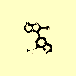 Cc1cc(C2=C(C(C)C)SC3=NCCN32)cc2ccsc12